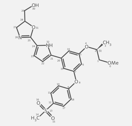 COC[C@H](C)Oc1cc(Oc2ccc(S(C)(=O)=O)cc2)cc(-c2ccc(C3=NCC(CO)O3)[nH]2)c1